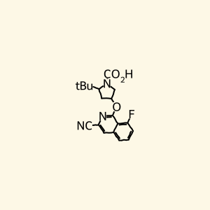 CC(C)(C)C1CC(Oc2nc(C#N)cc3cccc(F)c23)CN1C(=O)O